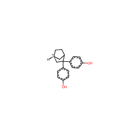 Oc1ccc(C2(c3ccc(O)cc3)C[C@@H]3CCC2C3)cc1